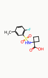 Cc1ccc(F)c(S(=O)(=O)NC2(C(=O)O)CCC2)c1